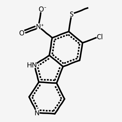 CSc1c(Cl)cc2c([nH]c3cnccc32)c1[N+](=O)[O-]